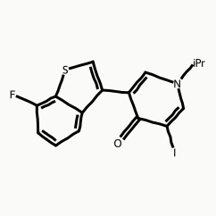 CC(C)n1cc(I)c(=O)c(-c2csc3c(F)cccc23)c1